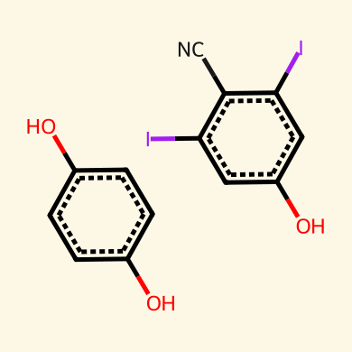 N#Cc1c(I)cc(O)cc1I.Oc1ccc(O)cc1